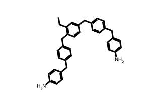 CCc1cc(Cc2ccc(Cc3ccc(N)cc3)cc2)ccc1Cc1ccc(Cc2ccc(N)cc2)cc1